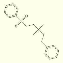 CC(C)(CCc1ccccc1)CCS(=O)(=O)c1ccccc1